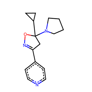 c1cc(C2=NOC(C3CC3)(N3CCCC3)C2)ccn1